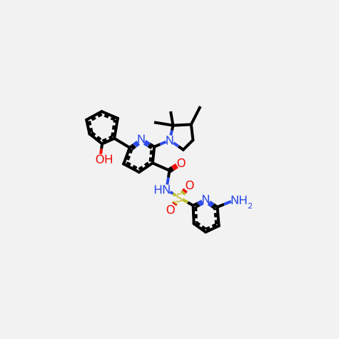 CC1CCN(c2nc(-c3ccccc3O)ccc2C(=O)NS(=O)(=O)c2cccc(N)n2)C1(C)C